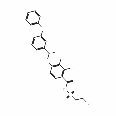 C[C@@H](Oc1ccc(C(=O)NS(=O)(=O)CCN)c(Cl)c1Cl)c1cccc(Oc2ccccc2)c1